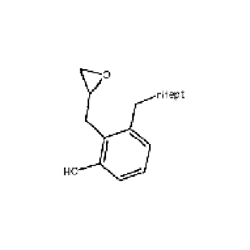 CCCCCCCCc1cccc(O)c1CC1CO1